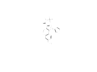 CN(C(=O)c1nn(-c2ccsc2)c2c1COc1cc(O)ccc1-2)C(C)(C)C